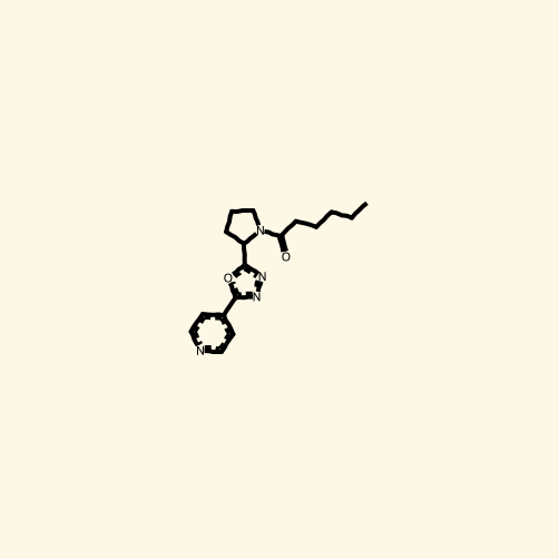 CCCCCC(=O)N1CCCC1c1nnc(-c2ccncc2)o1